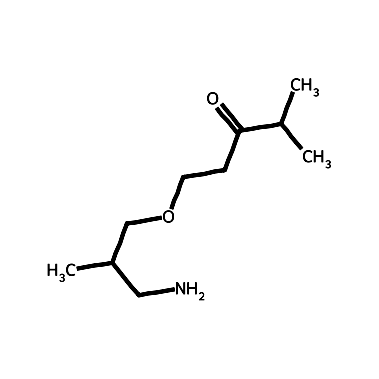 CC(CN)COCCC(=O)C(C)C